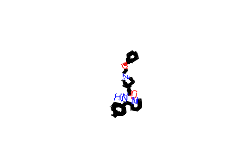 Cc1ccc(C(NC(=O)C2CCN(CCOc3ccccc3)CC2)c2ccccn2)cc1